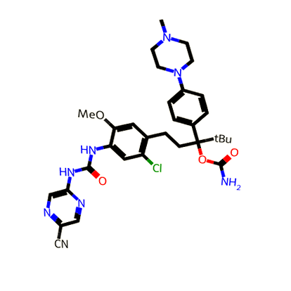 COc1cc(CCC(OC(N)=O)(c2ccc(N3CCN(C)CC3)cc2)C(C)(C)C)c(Cl)cc1NC(=O)Nc1cnc(C#N)cn1